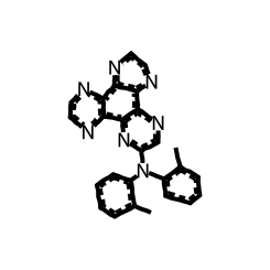 Cc1ccccc1N(c1cnc2c3nccnc3c3nccnc3c2n1)c1ccccc1C